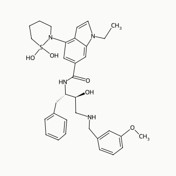 CCn1ccc2c(N3CCCCS3(O)O)cc(C(=O)N[C@@H](Cc3ccccc3)[C@@H](O)CNCc3cccc(OC)c3)cc21